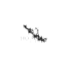 CNCCCCCN(c1cc(C)c(Nc2nc3ccccc3s2)nn1)c1nc(C(=O)O)c(CCCOc2ccc(C#CCN(C)C)cc2F)s1